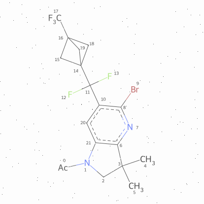 CC(=O)N1CC(C)(C)c2nc(Br)c(C(F)(F)C34CC(C(F)(F)F)(C3)C4)cc21